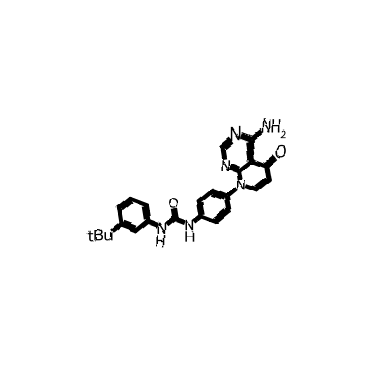 CC(C)(C)c1cccc(NC(=O)Nc2ccc(-n3ccc(=O)c4c(N)ncnc43)cc2)c1